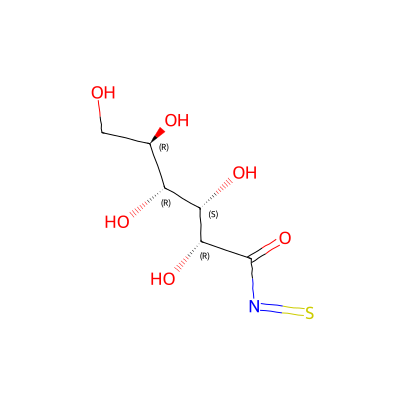 O=C(N=S)[C@H](O)[C@@H](O)[C@H](O)[C@H](O)CO